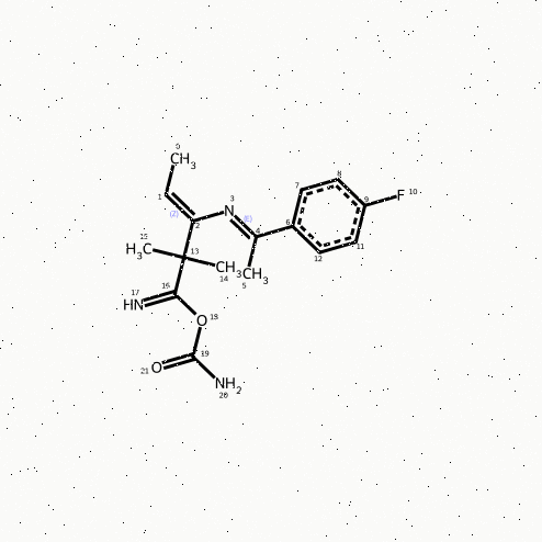 C/C=C(\N=C(/C)c1ccc(F)cc1)C(C)(C)C(=N)OC(N)=O